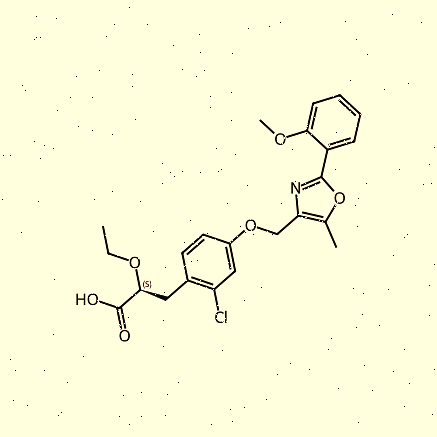 CCO[C@@H](Cc1ccc(OCc2nc(-c3ccccc3OC)oc2C)cc1Cl)C(=O)O